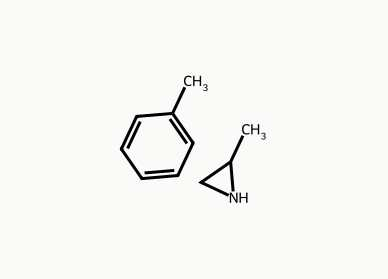 CC1CN1.Cc1ccccc1